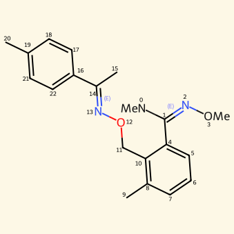 CN/C(=N/OC)c1cccc(C)c1CO/N=C(\C)c1ccc(C)cc1